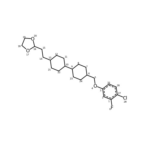 Fc1cc(OCC2CCC(C3CCC(CCC4OCCO4)CC3)CC2)ccc1Cl